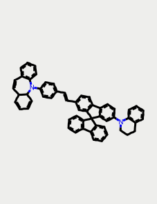 C1=CC2C=Cc3ccccc3N(c3ccc(/C=C/c4ccc5c(c4)C4(c6ccccc6-c6ccccc64)c4cc(N6CCCc7ccccc76)ccc4-5)cc3)C2C=C1